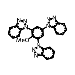 [CH2]Oc1c(-n2nnc3ccccc32)cc(-n2nnc3ccccc32)cc1-n1nnc2ccccc21